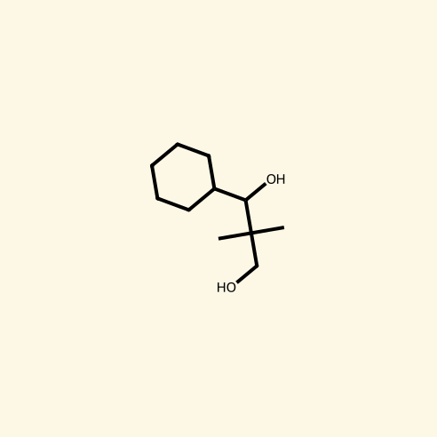 CC(C)(CO)C(O)C1CCCCC1